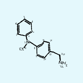 CCN(c1ccccc1)c1ccc(CN)cc1